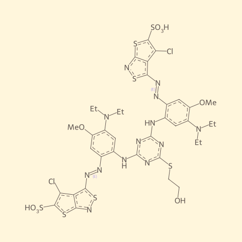 CCN(CC)c1cc(Nc2nc(Nc3cc(N(CC)CC)c(OC)cc3/N=N/c3snc4sc(S(=O)(=O)O)c(Cl)c34)nc(SCCO)n2)c(/N=N/c2snc3sc(S(=O)(=O)O)c(Cl)c23)cc1OC